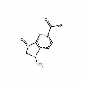 CCCC(=O)c1ccc2c(c1)[Se](=O)CN2C